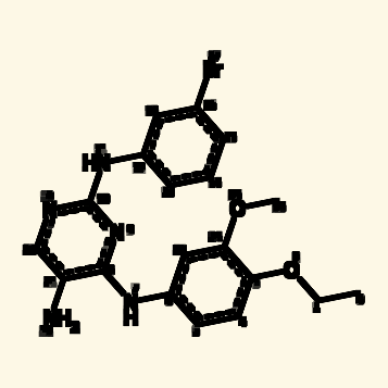 CCOc1ccc(Nc2nc(Nc3cccc(Br)c3)ncc2N)cc1OC